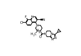 C[C@H]1CN(c2c(C#N)cnc3c(F)c(Cl)ccc23)CC[C@H]1C(=O)N1CCn2c(nnc2C2CC2)C1